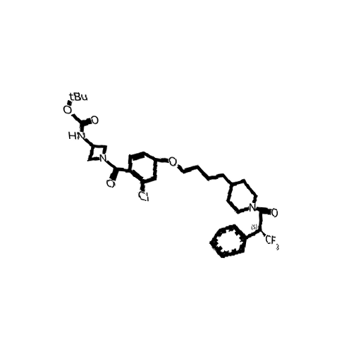 CC(C)(C)OC(=O)NC1CN(C(=O)C2=C(Cl)CC(OCCCCC3CCN(C(=O)[C@H](c4ccccc4)C(F)(F)F)CC3)C=C2)C1